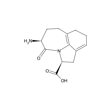 N[C@H]1CCC2=C3C(=CCC2)C[C@@H](C(=O)O)N3C1=O